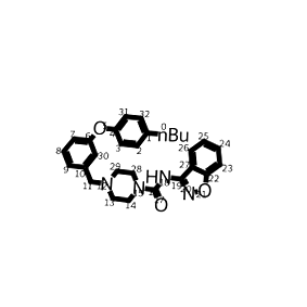 CCCCc1ccc(Oc2cccc(CN3CCN(C(=O)Nc4noc5ccccc45)CC3)c2)cc1